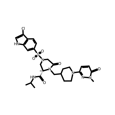 CC(C)NC(=O)[C@@H]1CN(S(=O)(=O)c2ccc3c(Cl)c[nH]c3c2)CC(=O)N1CC1CCN(c2ccc(=O)n(C)n2)CC1